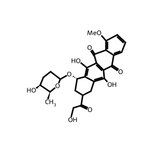 COc1cccc2c1C(=O)c1c(O)c3c(c(O)c1C2=O)CC(C(=O)CO)C[C@@H]3OC1CC[C@H](O)[C@H](C)O1